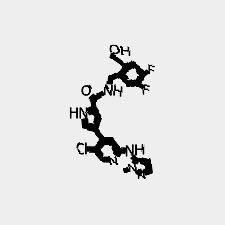 Cn1nccc1Nc1cc(-c2c[nH]c(C(=O)NCc3cc(F)c(F)cc3CO)c2)c(Cl)cn1